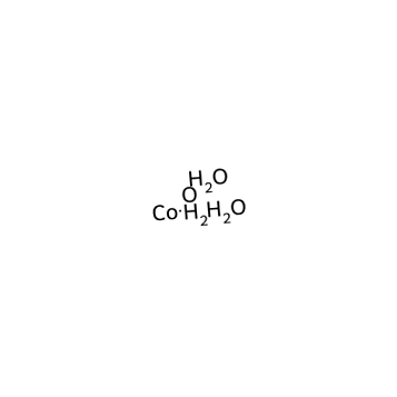 O.O.O.[Co]